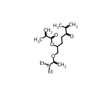 C=C(C)C(=O)CCC(COC(=C)N(CC)CC)OC(=O)C(=C)C